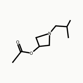 CC(=O)OC1CN(CC(C)C)C1